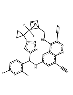 Cc1nc(F)ccc1C(Nc1cc(C#N)c2ncc(C#N)c(NCC34CC(C3)C4)c2c1)c1cn(C2(C(F)(F)F)CC2)nn1